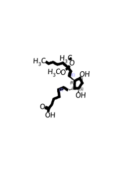 CCCCCC(/C=C/[C@@H]1[C@@H](C/C=C\CCCC(=O)O)[C@@H](O)C[C@H]1O)(OC)OC